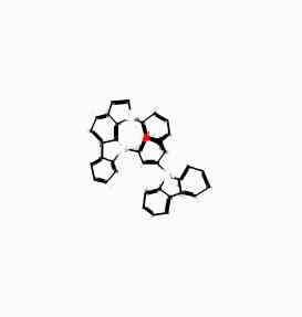 c1ccc(-n2ccc3ccc4c5ccccc5n(-c5cccc(-n6c7ccccc7c7ccccc76)c5)c4c32)cc1